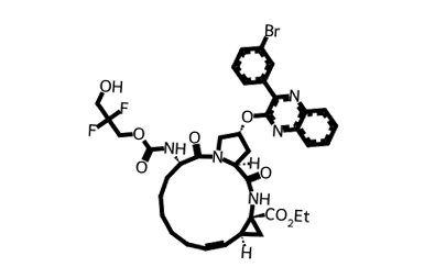 CCOC(=O)[C@@]12C[C@H]1/C=C\CCCCC[C@H](NC(=O)OCC(F)(F)CO)C(=O)N1C[C@H](Oc3nc4ccccc4nc3-c3cccc(Br)c3)C[C@H]1C(=O)N2